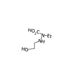 CCN(NCCO)C(=O)O